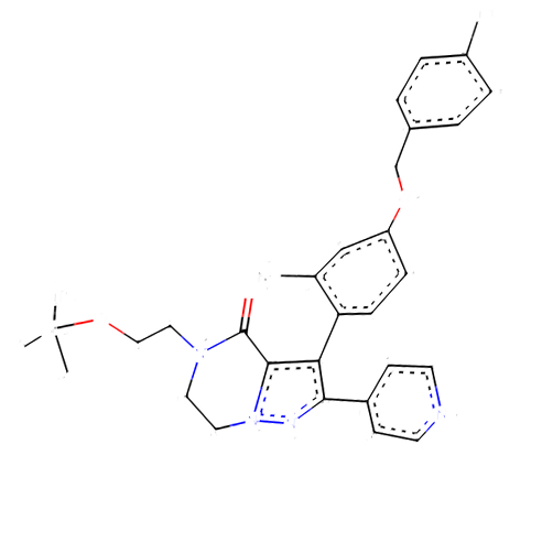 CC(C)c1ccc(COc2ccc(-c3c(-c4ccncc4)nn4c3C(=O)N(CCO[Si](C)(C)C(C)(C)C)CC4)c(C#N)c2)cc1